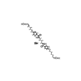 CCCCCCCCCCCCCCCC[n+]1ccc(C(=O)NCCCCNC(=O)c2cc[n+](CCCCCCCCCCCCCCCC)cc2)cc1.[Br-].[Br-]